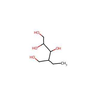 CCC(CO)C(O)C(O)CO